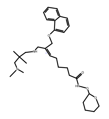 CN(C)CC(C)(C)CNC/C(=C/CCCCC(=O)NOC1CCCCO1)COc1cccc2ccccc12